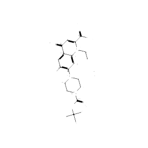 CCn1c(C(=O)[O-])cc(=O)c2cc(F)c(N3CCN(C(=O)OC(C)(C)C)CC3)cc21.[K+]